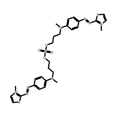 CN(CCCOS(=O)(=O)OCCCN(C)c1ccc(/N=N/c2scc[n+]2C)cc1)c1ccc(/N=N/c2scc[n+]2C)cc1